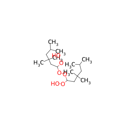 CC(C)CC(C)(C)CC(OO)OOC(CC(C)(C)CC(C)C)OO